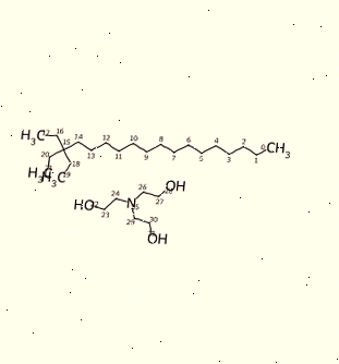 CCCCCCCCCCCCCCCC(CC)(CC)CC.OCCN(CCO)CCO